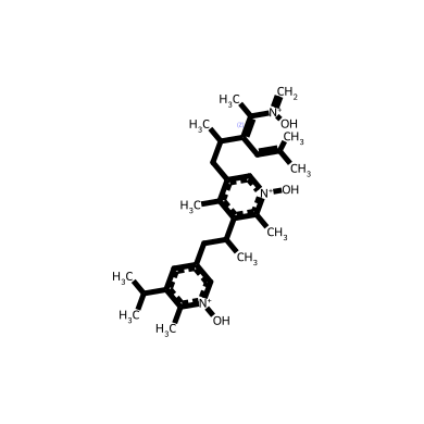 C=[N+](O)/C(C)=C(\C=C(C)C)C(C)Cc1c[n+](O)c(C)c(C(C)Cc2cc(C(C)C)c(C)[n+](O)c2)c1C